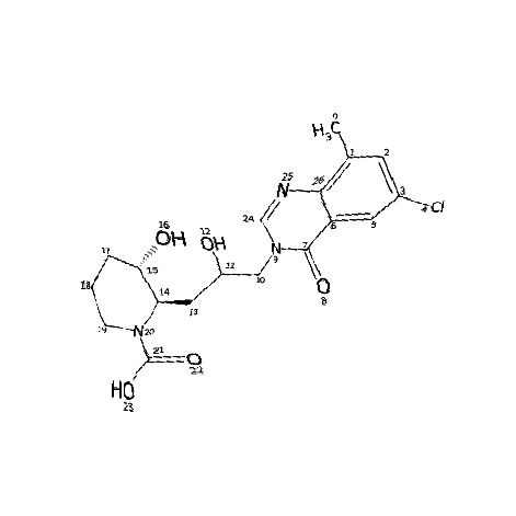 Cc1cc(Cl)cc2c(=O)n(CC(O)C[C@@H]3[C@@H](O)CCCN3C(=O)O)cnc12